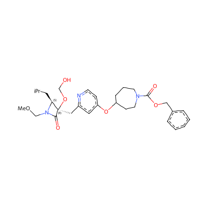 COCN1C(=O)[C@](Cc2cc(OC3CCCN(C(=O)OCc4ccccc4)CC3)ccn2)(OCO)[C@@H]1CC(C)C